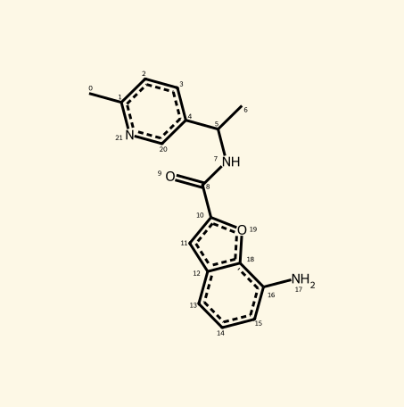 Cc1ccc(C(C)NC(=O)c2cc3cccc(N)c3o2)cn1